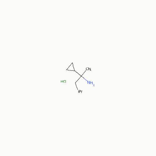 CC(C)CC(N)(C#N)C1CC1.Cl